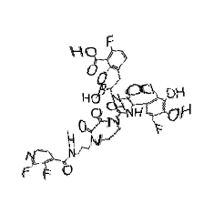 O=C(NCCCN1CCN(C(=O)NC(C(=O)NC2Cc3ccc(F)c(C(=O)O)c3OB2O)c2cc(F)c(O)c(O)c2Cl)C(=O)C1=O)c1ccnc(F)c1F